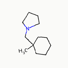 CC1(CN2CCCC2)CCCCC1